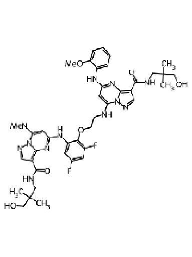 CNc1cc(Nc2cc(F)cc(F)c2OCCNc2cc(Nc3ccccc3OC)nc3c(C(=O)NCC(C)(C)CO)cnn23)nc2c(C(=O)NCC(C)(C)CO)cnn12